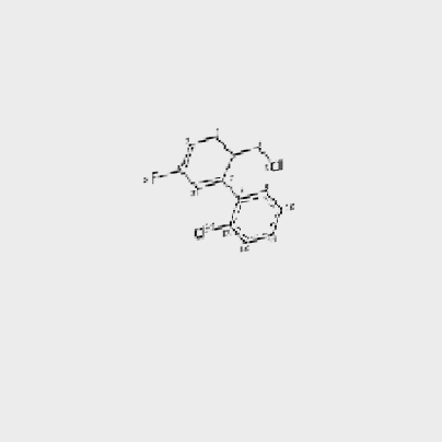 FC1=CC[C](CCl)C(c2ccccc2Cl)=C1